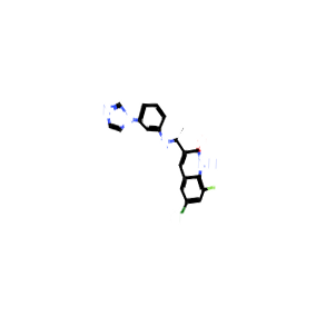 C[C@H](Nc1cccc(-n2ccnc2)c1)c1cc2cc(Cl)cc(F)c2[nH]c1=O